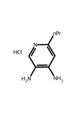 CCCc1cc(N)c(N)cn1.Cl